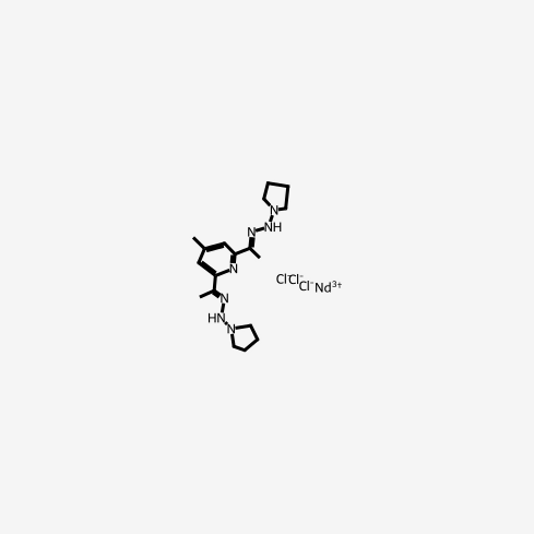 CC(=NNN1CCCC1)c1cc(C)cc(C(C)=NNN2CCCC2)n1.[Cl-].[Cl-].[Cl-].[Nd+3]